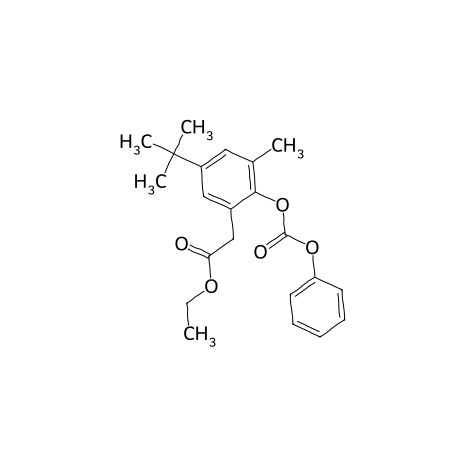 CCOC(=O)Cc1cc(C(C)(C)C)cc(C)c1OC(=O)Oc1ccccc1